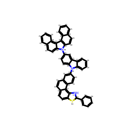 c1ccc(C2Nc3c(ccc4ccc5cc(-n6c7ccccc7c7cc(-n8c9ccc%10ccccc%10c9c9c%10ccccc%10ccc98)ccc76)ccc5c34)S2)cc1